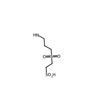 [NH]CCCS(=O)(=O)CCS(=O)(=O)O